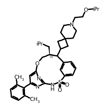 Cc1cccc(C)c1-c1cc2nc(n1)NS(=O)(=O)c1cccc(c1)C(C1CC3(CCN(CCOC(C)C)CC3)C1)[C@H](CC(C)C)CO2